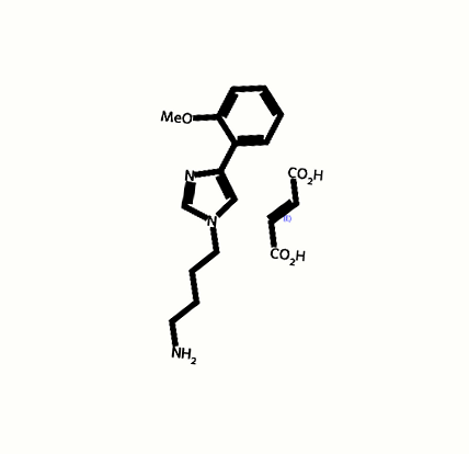 COc1ccccc1-c1cn(CCCCN)cn1.O=C(O)/C=C/C(=O)O